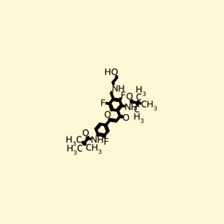 CC(C)(C)C(=O)Nc1ccc(-c2cc(=O)c3c(NC(=O)C(C)(C)C)c(F)c(CNCCO)c(F)c3o2)cc1F